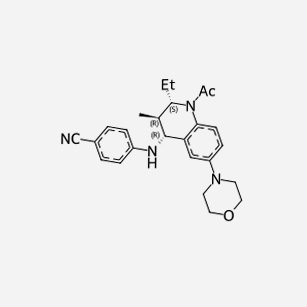 CC[C@H]1[C@H](C)[C@@H](Nc2ccc(C#N)cc2)c2cc(N3CCOCC3)ccc2N1C(C)=O